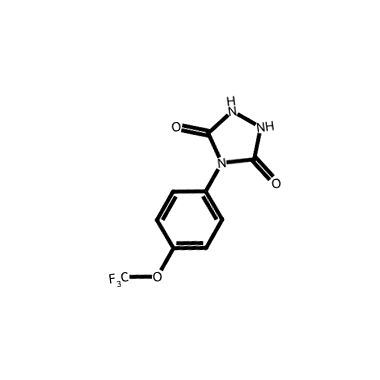 O=c1[nH][nH]c(=O)n1-c1ccc(OC(F)(F)F)cc1